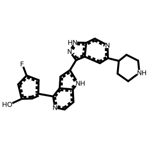 Oc1cc(F)cc(-c2nccc3[nH]c(-c4n[nH]c5cnc(C6CCNCC6)cc45)cc23)c1